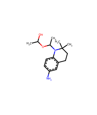 CC(O)OC(C)N1c2ccc(N)cc2CCC1(C)C